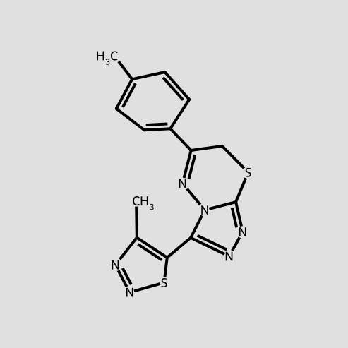 Cc1ccc(C2=Nn3c(nnc3-c3snnc3C)SC2)cc1